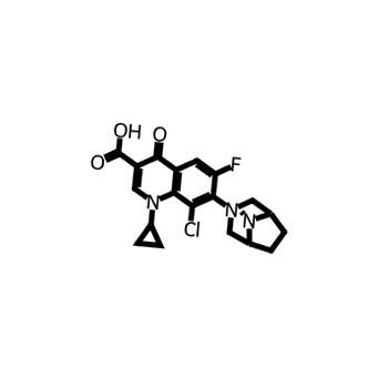 CN1C2CCC1CN(c1c(F)cc3c(=O)c(C(=O)O)cn(C4CC4)c3c1Cl)C2